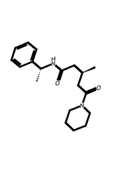 C[C@H](CC(=O)N[C@H](C)c1ccccc1)CC(=O)N1CCCCC1